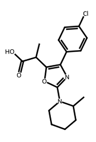 CC(C(=O)O)c1oc(N2CCCCC2C)nc1-c1ccc(Cl)cc1